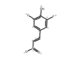 O=[N+]([O-])/C=C/c1cc(F)c(O)c(F)c1